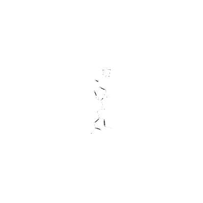 CC1CCN1C(=O)c1cnc(NCc2cc(Cl)cc(Cl)c2)nc1